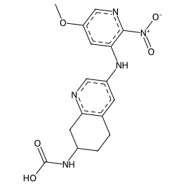 COc1cnc([N+](=O)[O-])c(Nc2cnc3c(c2)CCC(NC(=O)O)C3)c1